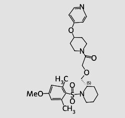 COc1cc(C)c(S(=O)(=O)N2CCCC[C@H]2COCC(=O)N2CCC(Oc3ccncc3)CC2)c(C)c1